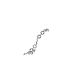 C=CCCOc1ccc(C2CCC(/C=C/CCc3ccc(-c4ccc(CCC)cc4)cc3)CC2)c(F)c1F